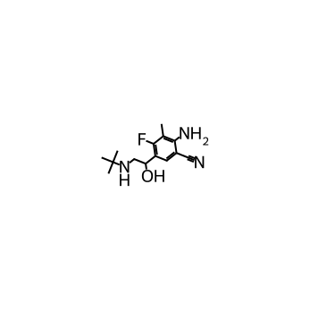 Cc1c(N)c(C#N)cc(C(O)CNC(C)(C)C)c1F